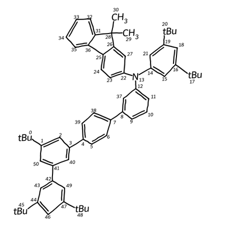 CC(C)(C)c1cc(-c2ccc(-c3cccc(N(c4cc(C(C)(C)C)cc(C(C)(C)C)c4)c4ccc5c(c4)C(C)(C)c4ccccc4-5)c3)cc2)cc(-c2cc(C(C)(C)C)cc(C(C)(C)C)c2)c1